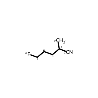 [CH2]C(C#N)CCCF